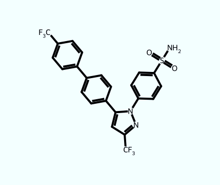 NS(=O)(=O)c1ccc(-n2nc(C(F)(F)F)cc2-c2ccc(-c3ccc(C(F)(F)F)cc3)cc2)cc1